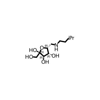 CC(C)CCNC[C@H]1O[C@@](O)(CO)[C@H](O)[C@H]1O